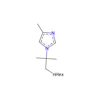 CCCCCCCC(C)(C)n1cnc(C)c1